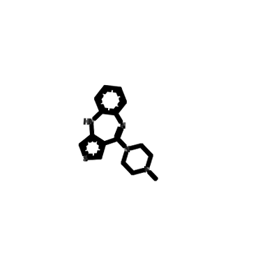 CN1CCN(C2=Nc3ccccc3Nc3cscc32)CC1